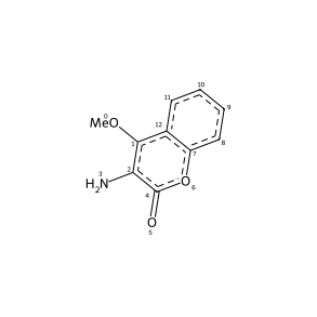 COc1c(N)c(=O)oc2ccccc12